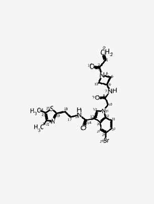 C=CC(=O)N1CC(NC(=O)Cn2cc(C(=O)NCCc3nc(C)c(C)s3)c3cc(Br)ccc32)C1